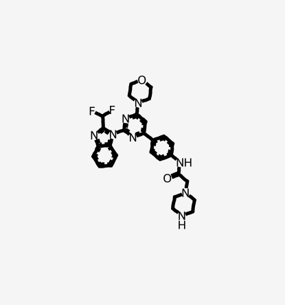 O=C(CN1CCNCC1)Nc1ccc(-c2cc(N3CCOCC3)nc(-n3c(C(F)F)nc4ccccc43)n2)cc1